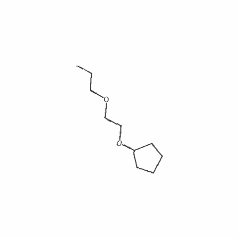 CCCOCCOC1CCCC1